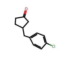 O=C1CCC(Cc2ccc(Cl)cc2)C1